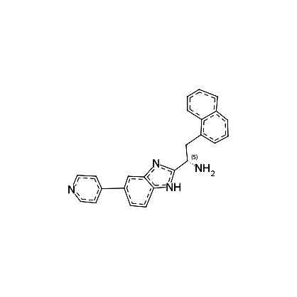 N[C@@H](Cc1cccc2ccccc12)c1nc2cc(-c3ccncc3)ccc2[nH]1